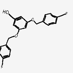 Oc1cc(OCc2ccc(F)cc2)cc(OCc2ccc(F)cc2)c1